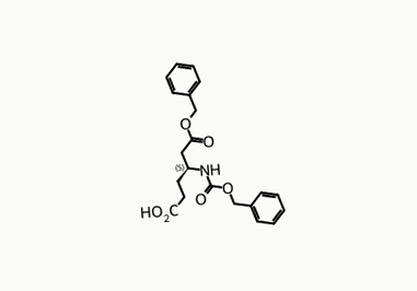 O=C(O)CC[C@@H](CC(=O)OCc1ccccc1)NC(=O)OCc1ccccc1